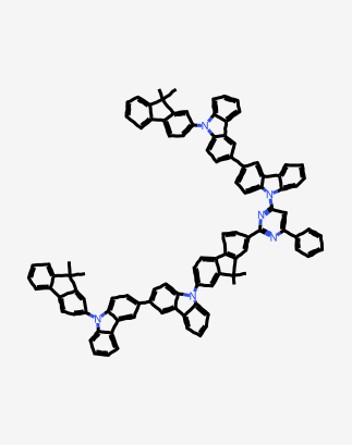 CC1(C)c2ccccc2-c2ccc(-n3c4ccccc4c4cc(-c5ccc6c(c5)c5ccccc5n6-c5ccc6c(c5)C(C)(C)c5cc(-c7nc(-c8ccccc8)cc(-n8c9ccccc9c9cc(-c%10ccc%11c(c%10)c%10ccccc%10n%11-c%10ccc%11c(c%10)C(C)(C)c%10ccccc%10-%11)ccc98)n7)ccc5-6)ccc43)cc21